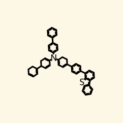 C1=CCCC(C2C=CC(N(C3=CC=C(c4ccc(-c5cccc6c5sc5ccccc56)cc4)CC3)c3ccc(-c4ccccc4)cc3)=CC2)=C1